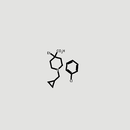 CCC1(C(=O)O)CCN(CC2CC2)CC1.Clc1ccccc1